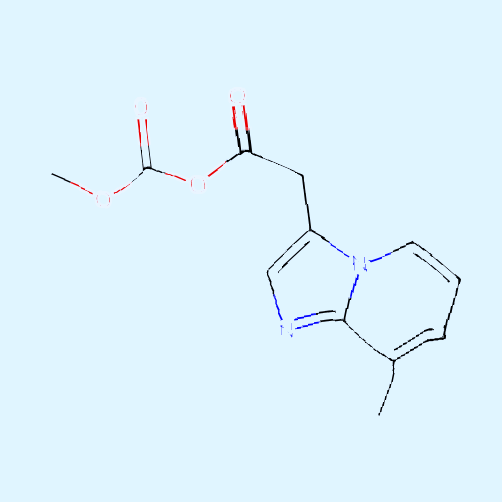 COC(=O)OC(=O)Cc1cnc2c(C)cccn12